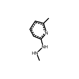 CNNc1cccc(C)n1